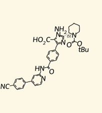 CC(C)(C)OC(=O)N1CCCC[C@H]1c1nc(-c2ccc(C(=O)Nc3cc(-c4ccc(C#N)cc4)ccn3)cc2)c(C(=O)O)n1N